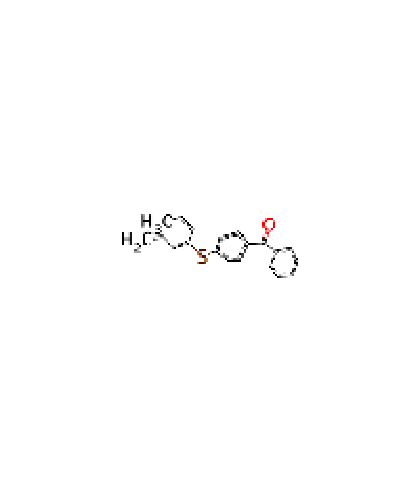 C=C/C=C(\C=C/C)Sc1ccc(C(=O)c2ccccc2)cc1